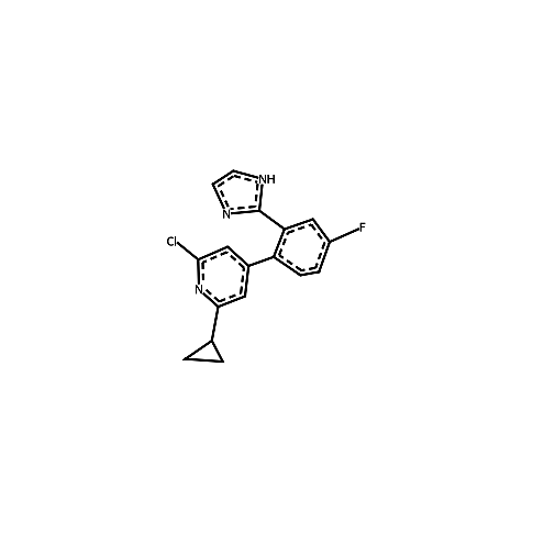 Fc1ccc(-c2cc(Cl)nc(C3CC3)c2)c(-c2ncc[nH]2)c1